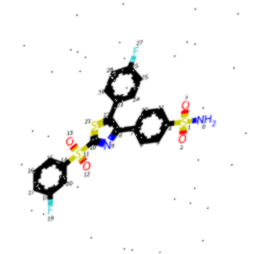 NS(=O)(=O)c1ccc(-c2nc(S(=O)(=O)c3cccc(F)c3)sc2-c2ccc(F)cc2)cc1